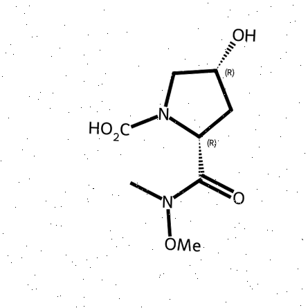 CON(C)C(=O)[C@H]1C[C@@H](O)CN1C(=O)O